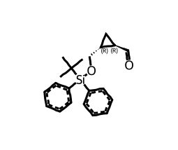 CC(C)(C)[Si](OC[C@@H]1C[C@H]1C=O)(c1ccccc1)c1ccccc1